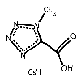 Cn1nnnc1C(=O)O.[CsH]